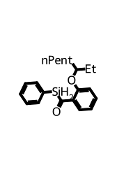 CCCCCC(CC)Oc1ccccc1C(=O)[SiH2]c1ccccc1